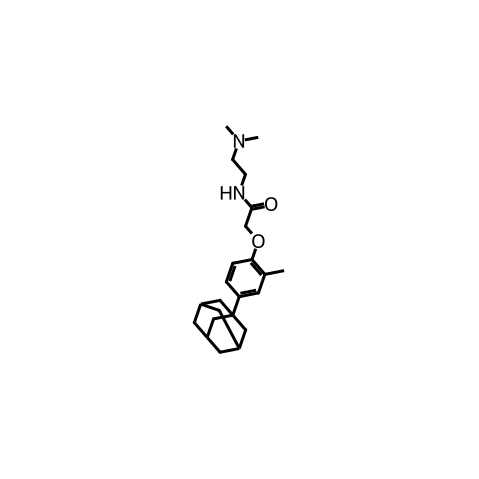 Cc1cc(C23CC4CC(CC(C4)C2)C3)ccc1OCC(=O)NCCN(C)C